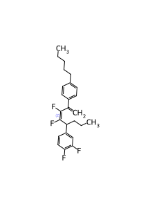 C=C(/C(F)=C(/F)C(CCC)c1ccc(F)c(F)c1)c1ccc(CCCCC)cc1